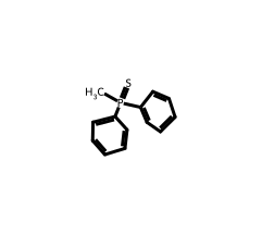 CP(=S)(c1ccccc1)c1ccccc1